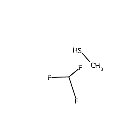 CS.FC(F)F